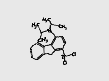 CC(C)N(c1cc[c]([Zr]([Cl])[Cl])c2c1-c1ccccc1C2)C(C)C